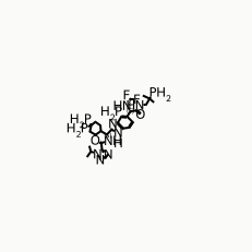 CC(C)n1ncnc1C(=O)N[C@H](c1nc2c(P)c([C@H](NC(F)F)C(=O)NCC(C)(C)P)ccc2[nH]1)C1CCC(P)(P)CC1